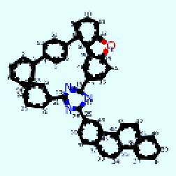 c1ccc(-c2ccc(-c3cccc4oc5ccc(-c6nc(-c7ccccc7)nc(-c7ccc8ccc9c%10ccccc%10ccc9c8c7)n6)cc5c34)cc2)cc1